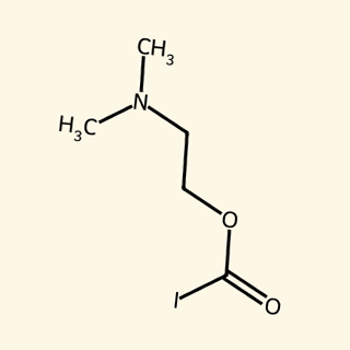 CN(C)CCOC(=O)I